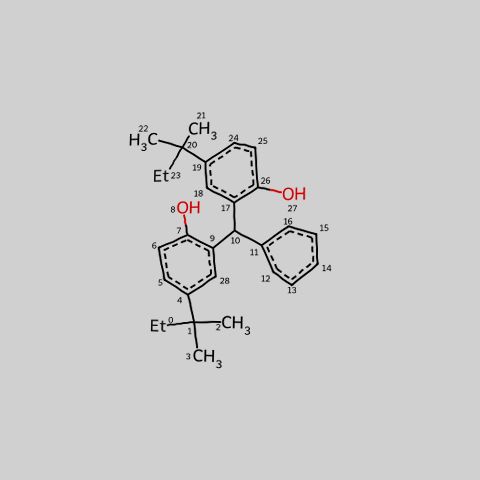 CCC(C)(C)c1ccc(O)c(C(c2ccccc2)c2cc(C(C)(C)CC)ccc2O)c1